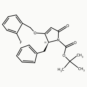 CC(C)(C)OC(=O)N1C(=O)C=C(OCc2ccccc2F)[C@@H]1Cc1ccccc1